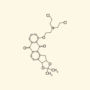 CC1(C)OC2Cc3c(ccc4c3C(=O)c3c(OCCN(CCCl)CCCl)cccc3C4=O)C2O1